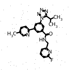 Cc1ccc(-c2cc(C(=O)NCc3cccc(F)n3)cc(-n3nnnc3C(C)C)c2)nc1